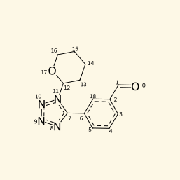 O=Cc1cccc(-c2nnnn2C2CCCCO2)c1